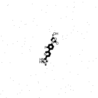 CN1N=C(c2ccc(-c3ccc(N4C[C@H](CO)OC4=O)cc3F)cn2)NN1